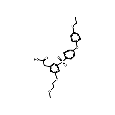 CCOc1ccc(Oc2ccc(S(=O)(=O)c3cc(CC(=O)O)cc(OCCOC)c3)cc2)cc1